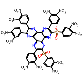 O=[N+]([O-])c1ccc(-c2nc3c(nc2-c2ccc([N+](=O)[O-])c([N+](=O)[O-])c2)c2nc(-c4ccc([N+](=O)[O-])c([N+](=O)[O-])c4)c(S(=O)(=O)c4ccc([N+](=O)[O-])c([N+](=O)[O-])c4)nc2c2nc(S(=O)(=O)c4ccc([N+](=O)[O-])c([N+](=O)[O-])c4)c(-c4ccc([N+](=O)[O-])c([N+](=O)[O-])c4)nc32)cc1[N+](=O)[O-]